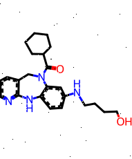 O=C(C1CCCCC1)N1Cc2cccnc2Nc2ccc(NCCCCO)cc21